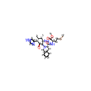 CC[C@H](C)[C@H](N)C(C(=O)Cc1c[nH]cn1)N1Cc2ccccc2C[C@H]1C(=O)NC(CCSC)C(=O)OC